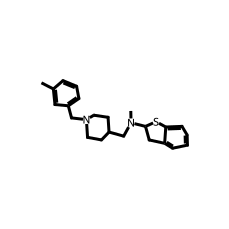 Cc1cccc(CN2CCC(CN(C)C3Cc4ccccc4S3)CC2)c1